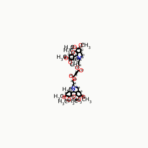 COc1ccc(C2c3c(cc(OC)c(OC)c3OC)CC[N+]2(C)CCCOC(=O)C#CC(=O)OCCC[N+]2(C)CCc3cc(OC)c(OC)c(OC)c3C2c2ccc(OC)c(OC)c2)cc1OC